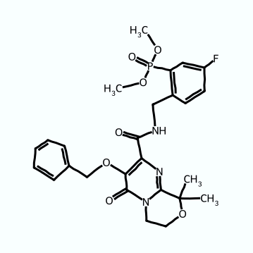 COP(=O)(OC)c1cc(F)ccc1CNC(=O)c1nc2n(c(=O)c1OCc1ccccc1)CCOC2(C)C